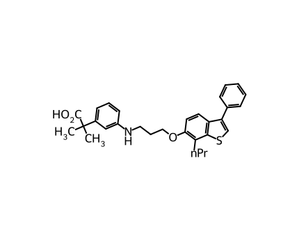 CCCc1c(OCCCNc2cccc(C(C)(C)C(=O)O)c2)ccc2c(-c3ccccc3)csc12